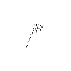 CCCCCCCCCCC(CO)NC(=O)OC(C)(C)C